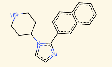 c1ccc2cc(-c3nccn3C3CCNCC3)ccc2c1